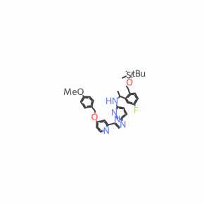 COc1ccc(COc2ccnc(-c3cnc4ccc(NC(C)c5cc(F)ccc5CO[Si](C)(C)C(C)(C)C)nn34)c2)cc1